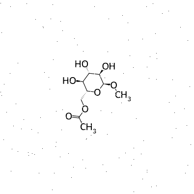 CO[C@H]1O[C@H](COC(C)=O)[C@@H](O)[C@H](O)[C@H]1O